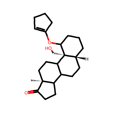 C[C@]12CCC3C(CC[C@H]4CCCC(OC5=CCCC5)[C@]34CO)C1CCC2=O